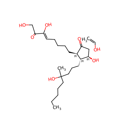 C=CO.CCCCCC(C)(O)CCC[C@H]1[C@H](O)CC(=O)[C@@H]1CCCCC=C(O)C(=O)CO